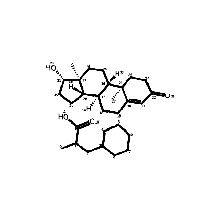 CC(CC1CCCCC1)C(=O)O.C[C@]12CC[C@H]3[C@@H](CCC4=CC(=O)CC[C@@]43C)[C@@H]1CC[C@@H]2O